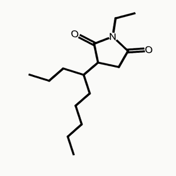 CCCCCC(CCC)C1CC(=O)N(CC)C1=O